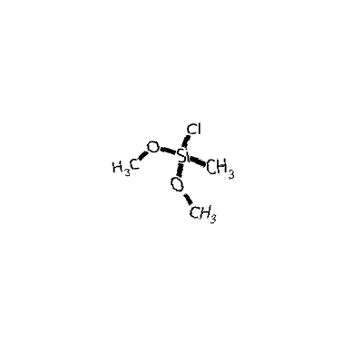 CO[Si](C)(Cl)OC